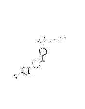 COCCOC[C@@H]1COC(=O)N1c1ccc(C(=O)N2CCN(c3ncc(C4CC4)cc3C)CC2)cc1